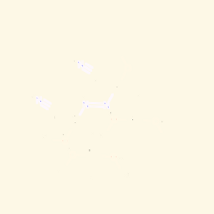 COC(C#N)(CC(C)(OC)OC)N=NC(C#N)(CC(C)(OC)OC)OC